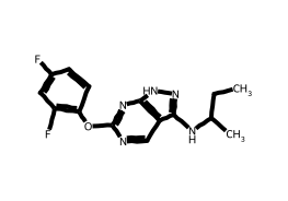 CCC(C)Nc1n[nH]c2nc(Oc3ccc(F)cc3F)ncc12